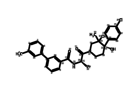 Cc1cccc(-c2cccc(C(=O)N[C@@H](C(=O)N3CC[C@](O)(c4ccc(Cl)cc4)C(C)(C)C3)C(C)C)c2)c1